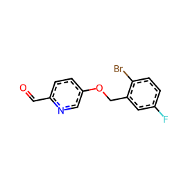 O=Cc1ccc(OCc2cc(F)ccc2Br)cn1